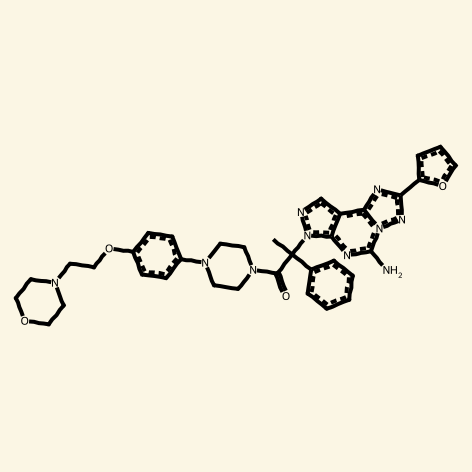 CC(C(=O)N1CCN(c2ccc(OCCN3CCOCC3)cc2)CC1)(c1ccccc1)n1ncc2c1nc(N)n1nc(-c3ccco3)nc21